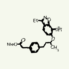 CCCc1c(OC(C)CCc2ccc(CC(=O)OC)cc2)ccc2c(CC)noc12